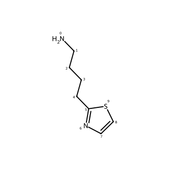 NCCCCc1nccs1